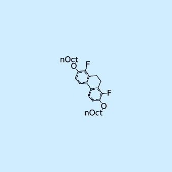 CCCCCCCCOc1ccc2c(c1F)CCc1c-2ccc(OCCCCCCCC)c1F